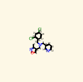 Cc1nocc1CN(Cc1cccnc1)Cc1ccc(Cl)cc1Cl